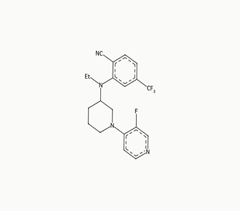 CCN(c1cc(C(F)(F)F)ccc1C#N)C1CCCN(c2ccncc2F)C1